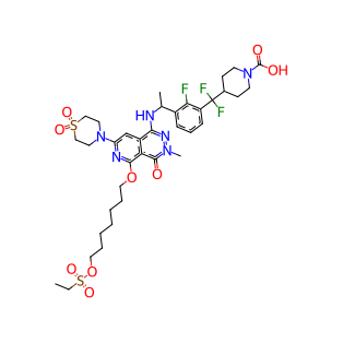 CCS(=O)(=O)OCCCCCCCOc1nc(N2CCS(=O)(=O)CC2)cc2c(NC(C)c3cccc(C(F)(F)C4CCN(C(=O)O)CC4)c3F)nn(C)c(=O)c12